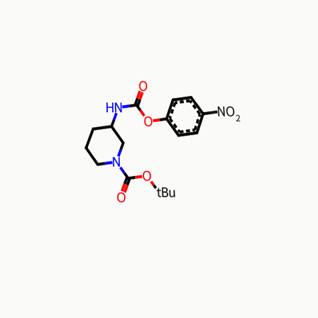 CC(C)(C)OC(=O)N1CCCC(NC(=O)Oc2ccc([N+](=O)[O-])cc2)C1